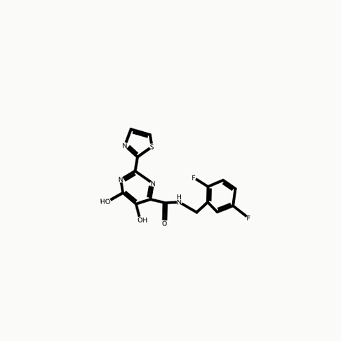 O=C(NCc1cc(F)ccc1F)c1nc(-c2nccs2)nc(O)c1O